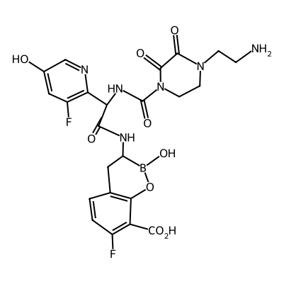 NCCN1CCN(C(=O)NC(C(=O)NC2Cc3ccc(F)c(C(=O)O)c3OB2O)c2ncc(O)cc2F)C(=O)C1=O